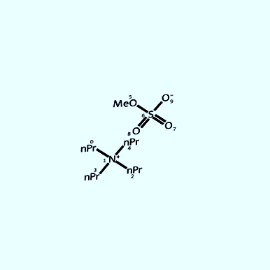 CCC[N+](CCC)(CCC)CCC.COS(=O)(=O)[O-]